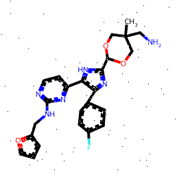 CC1(CN)COC(c2nc(-c3ccc(F)cc3)c(-c3ccnc(NCc4ccco4)n3)[nH]2)OC1